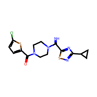 N=C(c1nc(C2CC2)ns1)N1CCN(C(=O)c2ccc(Cl)s2)CC1